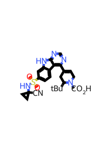 CC(C)(C)C1CC(c2ncnc3[nH]c4cc(S(=O)(=O)NC5(C#N)CC5)ccc4c23)=CCN1C(=O)O